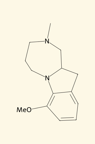 COc1cccc2c1N1CCCN(C)CC1C2